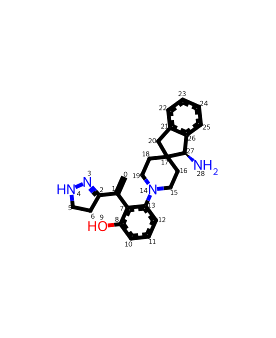 C=C(C1=NNCC1)c1c(O)cccc1N1CCC2(CC1)Cc1ccccc1[C@H]2N